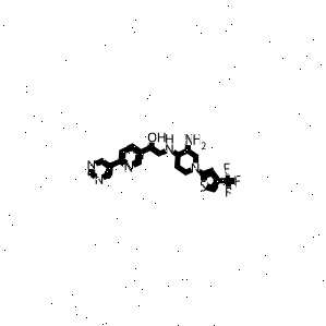 NC1CN(c2cc(C(F)(F)F)cs2)CCC1NCC(O)c1ccc(-c2cncnc2)nc1